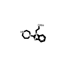 COCCn1c(N2CCCNCC2)nc2ccccc21